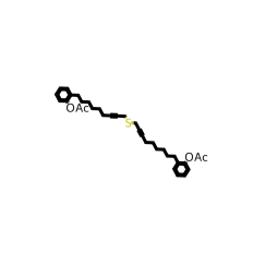 CC(=O)Oc1ccccc1CCCCCCC#CCSCC#CCCCCCCc1ccccc1OC(C)=O